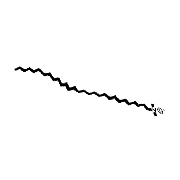 CCCCCCCCCCCCCCCCCCCCCCCCCCCCC[N+](C)(C)[O-]